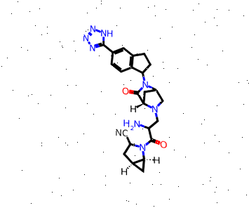 N#CC1C[C@@H]2C[C@@H]2N1C(=O)C(N)CN1CC2C[C@H]1C(=O)N2C1CCc2cc(-c3nnn[nH]3)ccc21